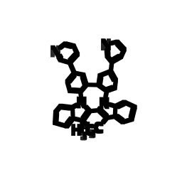 Cc1c2ccccc2n2c3ccc(-c4cccnc4)cc3c3cc(-c4cccnc4)ccc3n3c4ccccc4c(C)c3c12